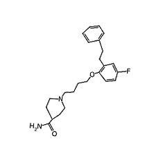 NC(=O)C1CCN(CCCCOc2ccc(F)cc2CCc2ccccc2)CC1